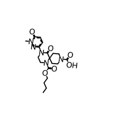 CCCCOC(=O)N1CCN(c2ccc(=O)n(C)n2)C(=O)C12CCN(C(=O)O)CC2